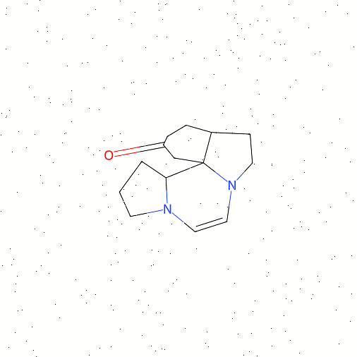 O=C1CCC2CCN3C=CN4CCCC4C23C1